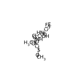 CCC(C(=O)Nc1cc(O)c(NC(=O)c2ccc(C(F)(F)F)cc2)cc1Cl)S(=O)(=O)c1ccc(SCCOC)cc1